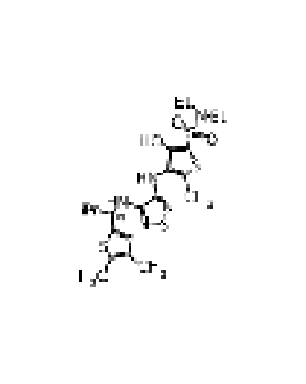 CCN(CC)S(=O)(=O)c1sc(C)c(Nc2nsnc2N[C@@H](c2cc(C)c(C)s2)C(C)C)c1O